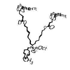 CCCCCCCC[S@@+]([O-])N(CC1CCN(C)CC1)C(CCCCCCCOC(=O)CCC(OCCCCC)OCCCCC)CCCCCCCOC(=O)CCC(OCCCCC)OCCCCC